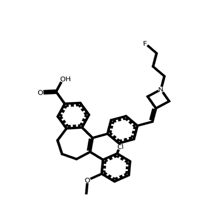 COc1cccc(Cl)c1C1=C(c2ccc(C=C3CN(CCCF)C3)cc2)c2ccc(C(=O)O)cc2CCC1